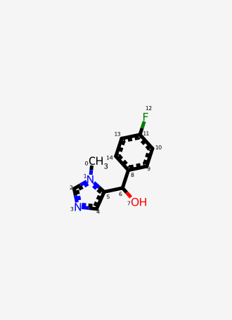 Cn1cncc1C(O)c1ccc(F)cc1